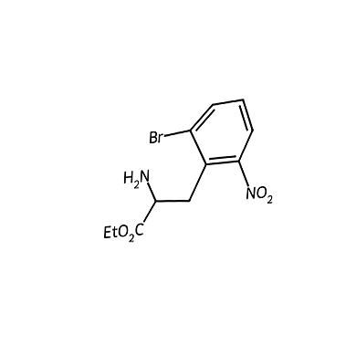 CCOC(=O)C(N)Cc1c(Br)cccc1[N+](=O)[O-]